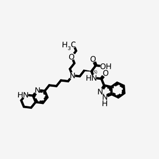 CCOCCN(CCCCc1ccc2c(n1)NCCC2)CC[C@H](NC(=O)c1n[nH]c2ccccc12)C(=O)O